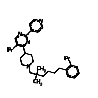 CC(C)c1ccccc1CCCCC(C)(C)CN1CCC(c2nc(-c3ccncc3)ncc2C(C)C)CC1